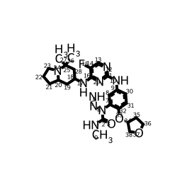 CNC(=O)N(N=N)c1cc(Nc2ncc(F)c(NC3CC4CCCN4C(C)(C)C3)n2)ccc1O[C@@H]1CCOC1